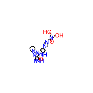 O=C(CN1CCN(c2ccc(Nc3nc(N4CCCCCC4)nc4cn[nH]c(=O)c34)cc2)CC1)N(CCO)CCO